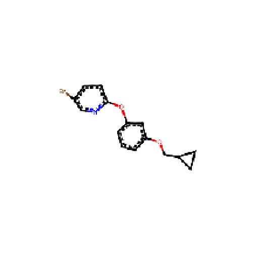 Brc1ccc(Oc2cccc(OCC3CC3)c2)nc1